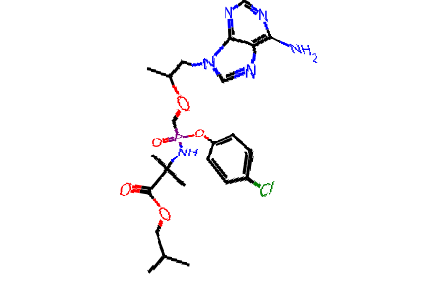 CC(C)COC(=O)C(C)(C)NP(=O)(COC(C)Cn1cnc2c(N)ncnc21)Oc1ccc(Cl)cc1